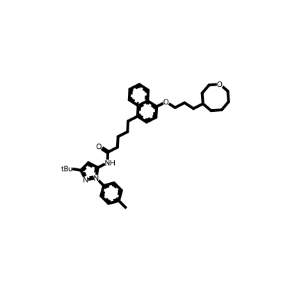 Cc1ccc(-n2nc(C(C)(C)C)cc2NC(=O)CCCCc2ccc(OCCCC3CCCCOCC3)c3ccccc23)cc1